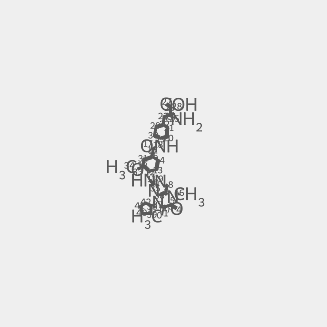 CC[C@@H]1C(=O)N(C)c2cnc(Nc3ccc(C(=O)Nc4ccc(C[C@H](N)C(=O)O)cc4)cc3OC)nc2N1C1CCCC1